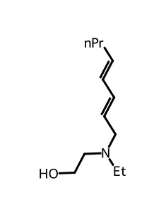 CCCC=CC=CCN(CC)CCO